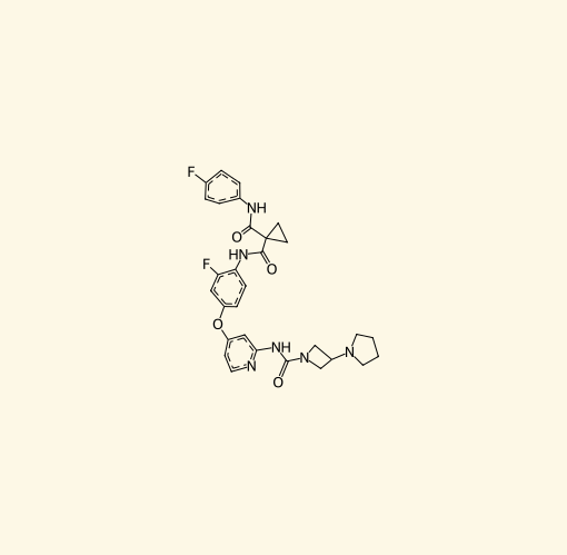 O=C(Nc1cc(Oc2ccc(NC(=O)C3(C(=O)Nc4ccc(F)cc4)CC3)c(F)c2)ccn1)N1CC(N2CCCC2)C1